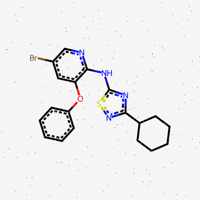 Brc1cnc(Nc2nc(C3CCCCC3)ns2)c(Oc2ccccc2)c1